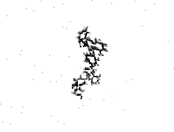 c1ccc2c(c1)oc1ccc(-n3c4ccccc4c4cc(-c5ccc(-n6c7ccccc7c7c8ccccc8oc76)cc5)ccc43)cc12